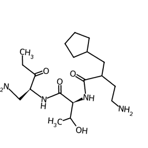 CCC(=O)[C@H](CN)NC(=O)[C@@H](NC(=O)C(CCN)CC1CCCC1)C(C)O